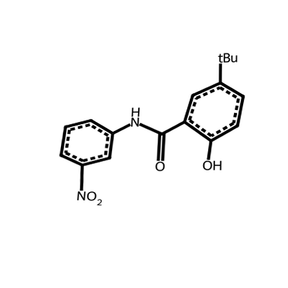 CC(C)(C)c1ccc(O)c(C(=O)Nc2cccc([N+](=O)[O-])c2)c1